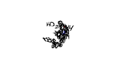 CC(C)(C)OC(=O)N1CCCN(C(=O)c2ccc(N/C(=C3\C(=O)Nc4cc(C(=O)O)ccc43)c3ccccc3)cc2)CC1